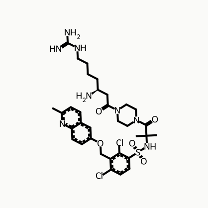 Cc1ccc2cc(OCc3c(Cl)ccc(S(=O)(=O)NC(C)(C)C(=O)N4CCN(C(=O)C[C@@H](N)CCCCNC(=N)N)CC4)c3Cl)ccc2n1